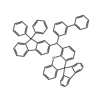 c1ccc(-c2cccc(N(c3ccc4c(c3)C(c3ccccc3)(c3ccccc3)c3ccccc3-4)c3cccc4c3Oc3ccccc3C43c4ccccc4-c4ccccc43)c2)cc1